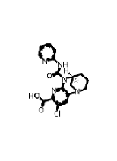 O=C(O)c1nc2c(cc1Cl)N1CCC[C@@H](C1)N2C(=O)Nc1ccccn1